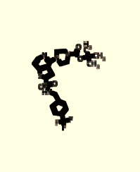 CC(C)(C)OC(=O)N1CCN(c2nccc3sc(S(=O)(=O)NCc4ccc(C(F)(F)F)cc4)cc23)CC1